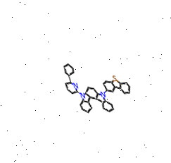 c1ccc(-c2cccc(-n3c4ccccc4c4c5c6ccccc6n(-c6ccc7sc8ccccc8c7c6)c5ccc43)n2)cc1